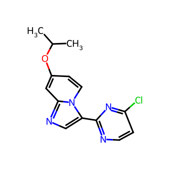 CC(C)Oc1ccn2c(-c3nccc(Cl)n3)cnc2c1